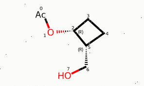 CC(=O)O[C@@H]1CC[C@@H]1CO